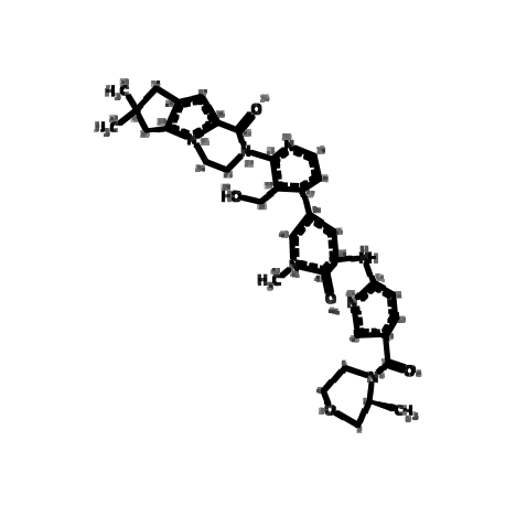 C[C@H]1COCCN1C(=O)c1ccc(Nc2cc(-c3ccnc(N4CCn5c(cc6c5CC(C)(C)C6)C4=O)c3CO)cn(C)c2=O)nc1